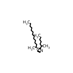 CCCCCCCCCCCCC(C)n1ccnc1C(C)CCCCC